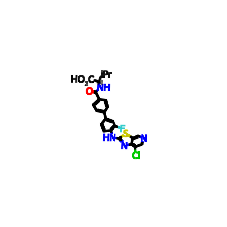 CC(C)[C@@H](NC(=O)c1ccc(-c2ccc(Nc3nc4c(Cl)cncc4s3)c(F)c2)cc1)C(=O)O